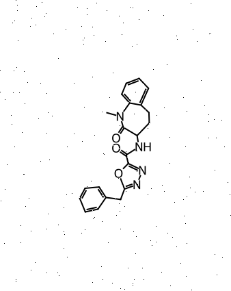 CN1C(=O)C(NC(=O)c2nnc(Cc3ccccc3)o2)CCc2ccccc21